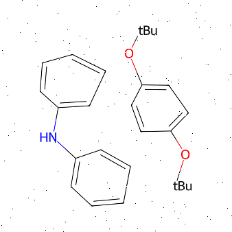 CC(C)(C)Oc1ccc(OC(C)(C)C)cc1.c1ccc(Nc2ccccc2)cc1